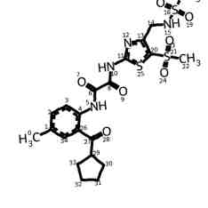 Cc1ccc(NC(=O)C(=O)Nc2nc(CNS(C)(=O)=O)c(S(C)(=O)=O)s2)c(C(=O)C2CCCC2)c1